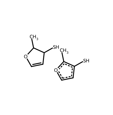 CC1OC=CC1S.Cc1occc1S